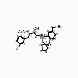 CC(=O)N[C@@H](Cc1cccc(F)c1)[C@H](O)CN[C@H]1CC2(CCCC2)Oc2ncc(CC(C)(C)C)cc21